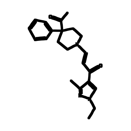 CCn1cc(C(=O)C=CN2CCC(C(C)=O)(c3ccccc3)CC2)c(C)n1